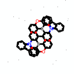 c1ccc2c(c1)Oc1ccccc1B2c1c(-c2cccc(-n3c4ccccc4c4ccccc43)c2B2c3ccccc3Oc3ccccc32)cccc1-n1c2ccccc2c2ccccc21